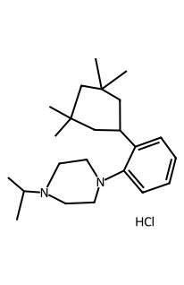 CC(C)N1CCN(c2ccccc2C2CC(C)(C)CC(C)(C)C2)CC1.Cl